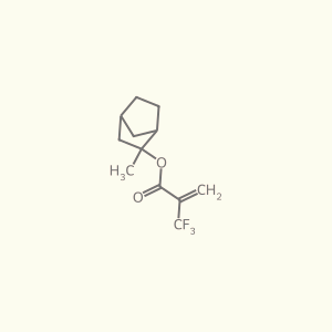 C=C(C(=O)OC1(C)CC2CCC1C2)C(F)(F)F